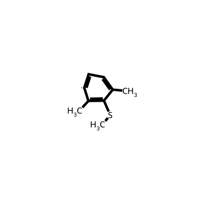 CSc1c(C)[c]ccc1C